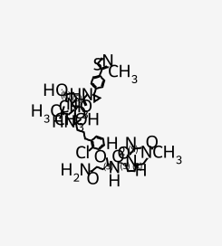 CC(=O)N1CC[C@H]2CC[C@@H](C(=O)N[C@@H](CCC(N)=O)COc3cccc(CCCC(O)NC(C(=O)N4C[C@H](O)C[C@H]4C(=O)NC4(c5ccc(-c6scnc6C)cc5)CC4)C(C)(C)C)c3Cl)N2C(=O)[C@@H](N)C1